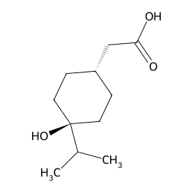 CC(C)[C@]1(O)CC[C@H](CC(=O)O)CC1